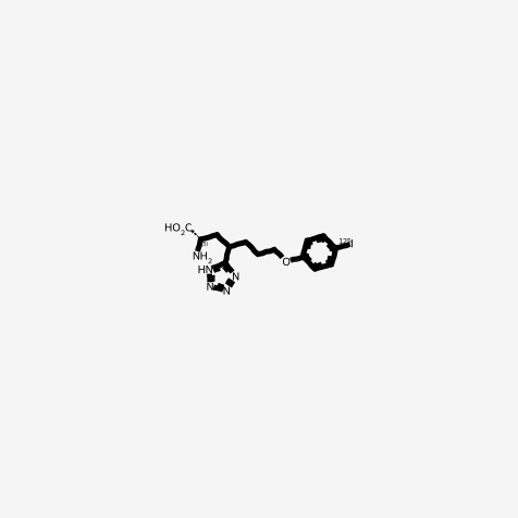 N[C@@H](CC(CCCOc1ccc([125I])cc1)c1nnn[nH]1)C(=O)O